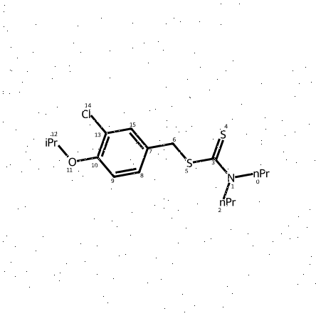 CCCN(CCC)C(=S)SCc1ccc(OC(C)C)c(Cl)c1